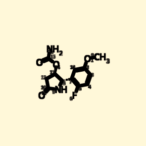 COc1ccc(F)c([C@@H]2NC(=O)C[C@H]2OC(N)=O)c1